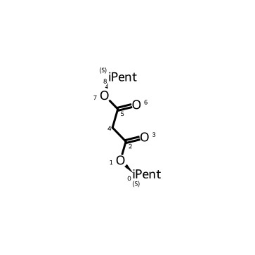 CCC[C@H](C)OC(=O)CC(=O)O[C@@H](C)CCC